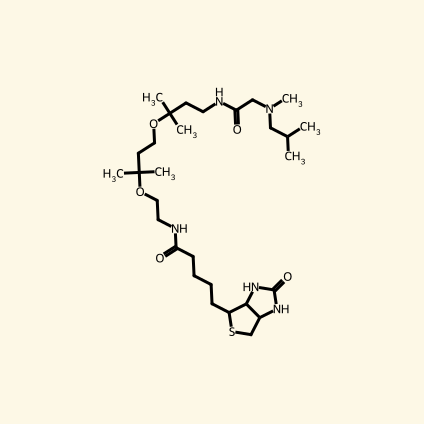 CC(C)CN(C)CC(=O)NCCC(C)(C)OCCC(C)(C)OCCNC(=O)CCCCC1SCC2NC(=O)NC21